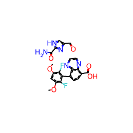 COc1cc(OC)c(F)c(-c2ccc(C(=O)O)c3nccnc23)c1F.NC(=O)c1nc(C=O)c[nH]1